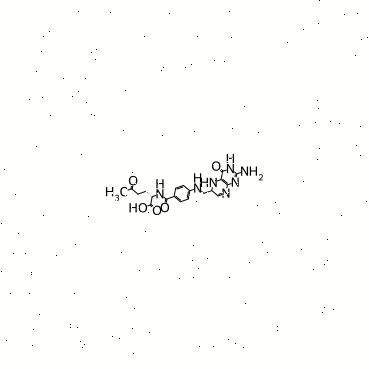 CC(=O)CC[C@H](NC(=O)c1ccc(NCC2C=Nc3nc(N)[nH]c(=O)c3N2)cc1)C(=O)O